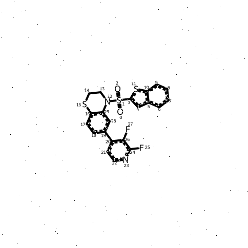 O=S(=O)(c1cc2ccccc2s1)N1CCSc2ccc(-c3ccnc(F)c3F)cc21